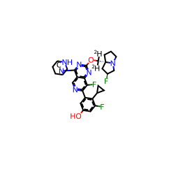 [2H]C([2H])(Oc1nc(N2CC3CCC2CN3)c2cnc(-c3cc(O)cc(F)c3C3CC3)c(F)c2n1)[C@]12CCCN1C[C@@H](F)C2